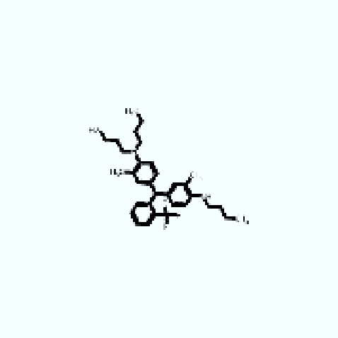 CCCCNc1ccc(C(c2ccc(N(CCCC)CCCC)c(C)c2)c2ccccc2C(F)(F)F)cc1C